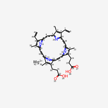 C=CC1=C(C)c2cc3[n-]c(cc4nc(cc5[n-]c(cc1n2)c(C)c5CCC(=O)O)C(CCC(=O)O)=C4C)c(C)c3C=C.[Mg+2]